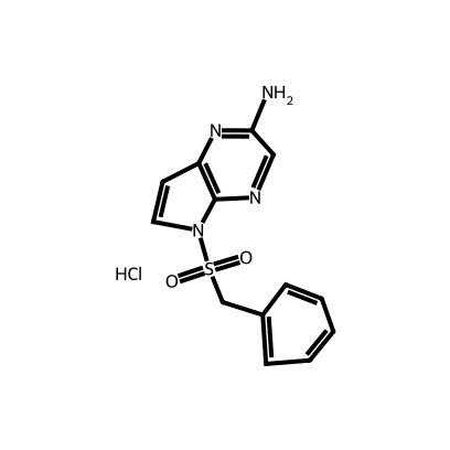 Cl.Nc1cnc2c(ccn2S(=O)(=O)Cc2ccccc2)n1